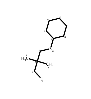 [Li][CH2]C(C)(C)CSC1CCCCC1